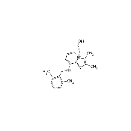 CC1=C(C)[N+]2(CCO)C=CC=C(NCc3c(C)cccc3C)C2=N1